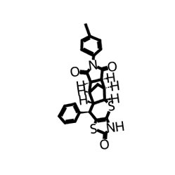 Cc1ccc(N2C(=O)[C@@H]3[C@H]4C[C@H]([C@@H]5Sc6[nH]c(=O)sc6[C@@H](c6ccccc6)[C@H]45)[C@@H]3C2=O)cc1